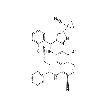 N#CCCC(Nc1c(C#N)cnc2c(Cl)cc(NC(c3cn(C4(C#N)CC4)nn3)c3ccccc3Cl)cc12)c1ccccc1